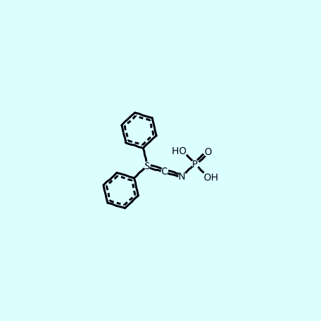 O=P(O)(O)N=C=S(c1ccccc1)c1ccccc1